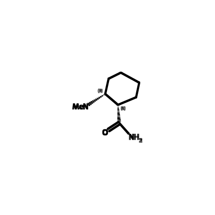 CN[C@@H]1CCCC[C@@H]1C(N)=O